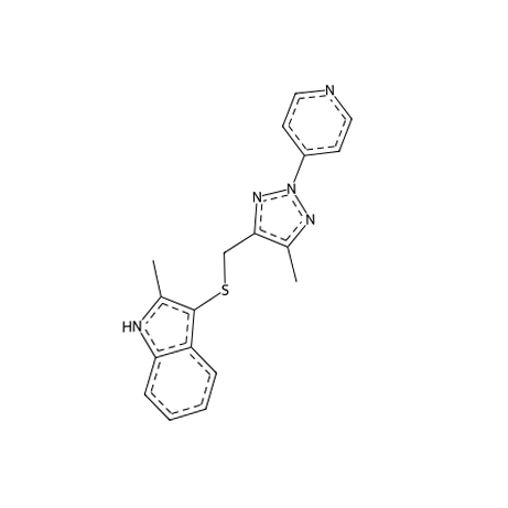 Cc1nn(-c2ccncc2)nc1CSc1c(C)[nH]c2ccccc12